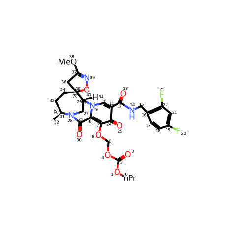 CCCOC(=O)OCOc1c2n(cc(C(=O)NCc3ccc(F)cc3F)c1=O)[C@@H]1CN(C2=O)[C@@H](C)CC[C@]12CC(OC)=NO2